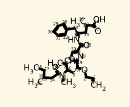 C=CCO[C@H](CC(C(C)C)N(C)C(=O)C[C@@H](C)CC)c1nc(C(=O)N[C@@H](Cc2ccccc2)C[C@H](C)C(=O)O)cs1